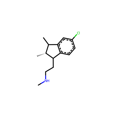 CNCCC1c2ccc(Cl)cc2C(C)[C@H]1C